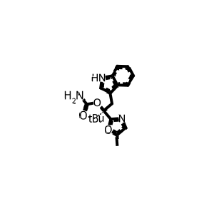 Cc1cnc([C@](Cc2c[nH]c3ccccc23)(OC(N)=O)C(C)(C)C)o1